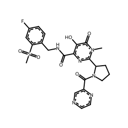 Cn1c(C2CCCN2C(=O)c2cnccn2)nc(C(=O)NCc2ccc(F)cc2S(C)(=O)=O)c(O)c1=O